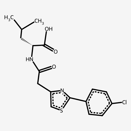 CC(C)C[C@@H](NC(=O)Cc1csc(-c2ccc(Cl)cc2)n1)C(=O)O